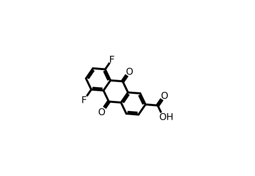 O=C(O)c1ccc2c(c1)C(=O)c1c(F)ccc(F)c1C2=O